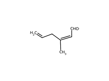 C=CCC(C)=C[C]=O